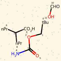 CC(C)(C)COC(N)=O.CCCC(CCC)C(=O)O.O=CO